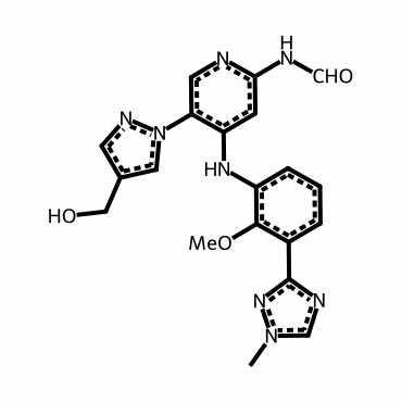 COc1c(Nc2cc(NC=O)ncc2-n2cc(CO)cn2)cccc1-c1ncn(C)n1